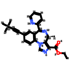 CCOC(=O)c1ncn2c1[C@@H](C)N=C(c1ccccn1)c1cc(C#C[Si](C)(C)C)ccc1-2